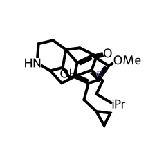 COc1cc(CC2CC2)c2c(c1)C13CCNC(C2)C1(O)C/C(=C\CC(C)C)C(=O)C3